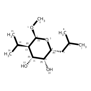 CO[C@H]1O[C@H](CC(C)C)[C@H](O)[C@H](O)[C@H]1C(C)C